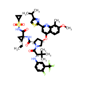 C=C[C@@H]1C[C@]1(NC(=O)[C@@H]1C[C@@H](Oc2cc(-c3nc(C(C)C)cs3)nc3c(C)c(OC)ccc23)CN1C(=O)[C@@H](Nc1ccc(F)c(C(F)(F)F)c1)C(C)(C)C)C(=O)NS(=O)(=O)C1CC1